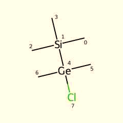 C[Si](C)(C)[Ge]([CH3])([CH3])[Cl]